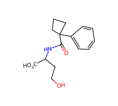 O=C(O)C(CCO)NC(=O)C1(c2ccccc2)CCC1